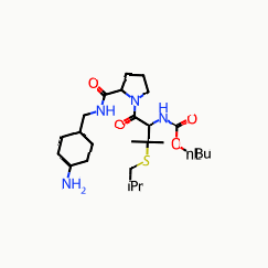 CCCCOC(=O)NC(C(=O)N1CCCC1C(=O)NCC1CCC(N)CC1)C(C)(C)SCC(C)C